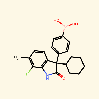 Cc1ccc2c(c1F)NC(=O)[C@]2(c1ccc(B(O)O)cc1)C1CCCCC1